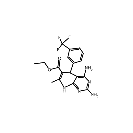 CCOC(=O)C1=C(C)Nc2nc(N)nc(N)c2C1c1cccc(C(F)(F)F)c1